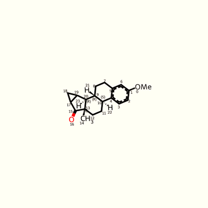 COc1ccc2c(c1)CC[C@@H]1[C@@H]2CC[C@]2(C)C(=O)C3CC3[C@@H]12